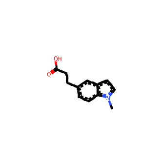 Cn1ccc2cc(CCC(=O)O)ccc21